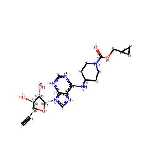 C#C[C@H]1O[C@@H](n2cnc3c(NC4CCN(C(=O)OCC5CC5)CC4)ncnc32)[C@@H](O)[C@@H]1O